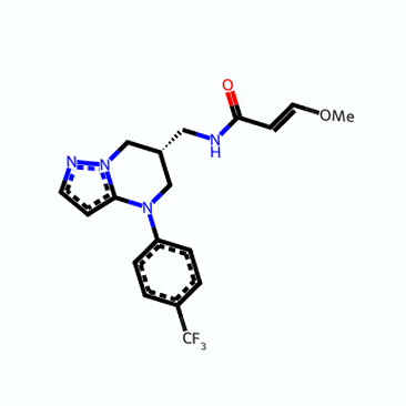 CO/C=C/C(=O)NC[C@@H]1CN(c2ccc(C(F)(F)F)cc2)c2ccnn2C1